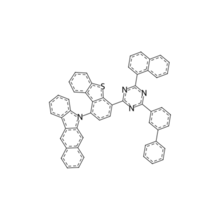 c1ccc(-c2cccc(-c3nc(-c4cccc5ccccc45)nc(-c4ccc(-n5c6ccccc6c6cc7ccccc7cc65)c5c4sc4ccccc45)n3)c2)cc1